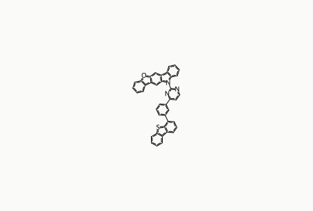 c1cc(-c2ccnc(-n3c4ccccc4c4cc5oc6ccccc6c5cc43)n2)cc(-c2cccc3c2sc2ccccc23)c1